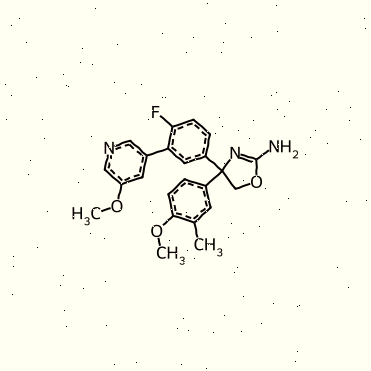 COc1cncc(-c2cc(C3(c4ccc(OC)c(C)c4)COC(N)=N3)ccc2F)c1